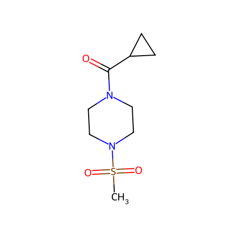 CS(=O)(=O)N1CCN(C(=O)C2CC2)CC1